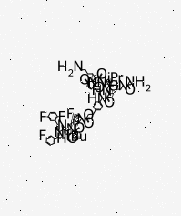 CC(C)[C@H](NC(=O)[C@H](CCCCN)N1C(=O)C=CC1=O)C(=O)N[C@@H](CCCNC(N)=O)C(=O)Nc1ccc(COC(=O)N2C[C@@H](CN(C(=O)[C@H](C)O)[C@@H](c3nc(-c4cc(F)ccc4F)cn3Cc3cccc(F)c3)C(C)(C)C)[C@@H](F)C2)cc1